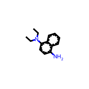 CCN(CC)c1ccc(N)c2ccccc12